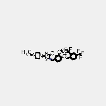 CCN1CCN(C2=NC(=O)/C(=C\c3ccc(OCc4ccc(C(F)(F)F)cc4C(F)(F)F)c(OC)c3)S2)CC1